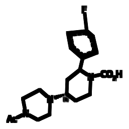 CC(=O)N1CCN([C@H]2CCN(C(=O)O)C(c3ccc(F)cc3)C2)CC1